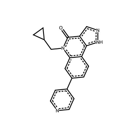 O=c1c2cn[nH]c2c2ccc(-c3ccncc3)cc2n1CC1CC1